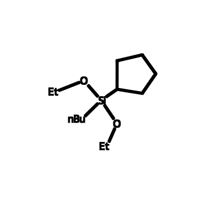 CCCC[Si](OCC)(OCC)C1CCCC1